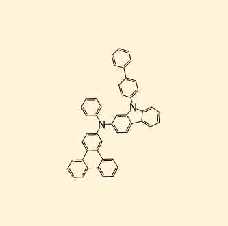 c1ccc(-c2ccc(-n3c4ccccc4c4ccc(N(c5ccccc5)c5ccc6c7ccccc7c7ccccc7c6c5)cc43)cc2)cc1